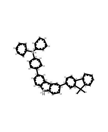 CC1(C)c2ccccc2-c2ccc(-c3ccc4[nH]c5ccc(-c6ccc(N(c7ccccc7)c7ccccc7)cc6)cc5c4c3)cc21